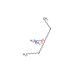 CCCCCCCC/C=C\CCCCCCCCC(CCCCCCCC/C=C\CCCCCCCC)OC(=O)CCCN(C)C